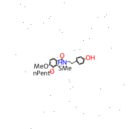 CCCCCOc1c(OC)ccc(C(=O)NCCc2ccc(O)cc2)c1SC